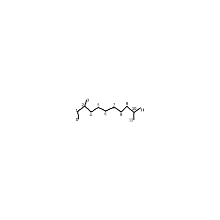 CCC(C)CCC[CH]CCC(C)C